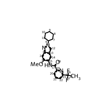 COc1cc2nn(C3CCCCC3)cc2cc1NC(=O)c1cccc(C(C)(F)F)n1